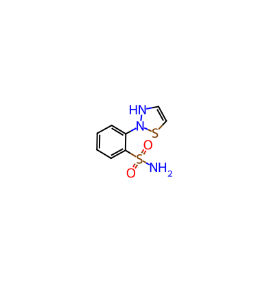 NS(=O)(=O)c1ccccc1N1NC=CS1